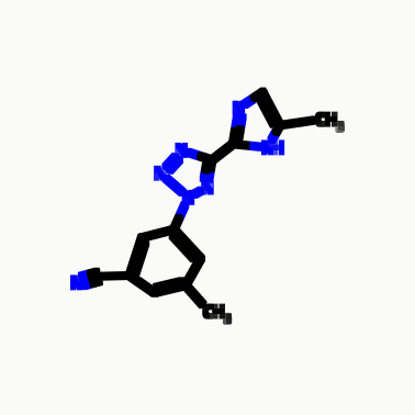 Cc1cc(C#N)cc(-n2nnc(-c3ncc(C)[nH]3)n2)c1